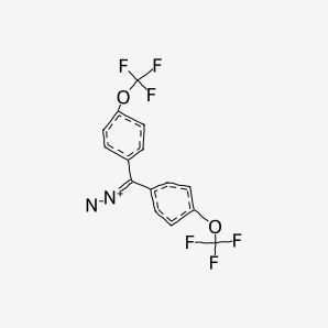 [N-]=[N+]=C(c1ccc(OC(F)(F)F)cc1)c1ccc(OC(F)(F)F)cc1